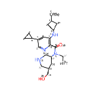 COC1CC(Nc2cc(C3CC3)cnc2C(=O)N(CC(C)C)[C@@H]2CNC[C@H](CO)C2)C1